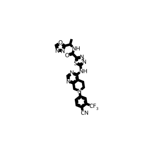 CC(NC(=O)c1nnc(Nc2ncnc3c2CCN(c2ccc(C#N)c(C(F)(F)F)c2)C3)s1)c1nnco1